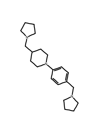 c1cc(N2CCC(CN3CCCC3)CC2)ccc1CN1CCCC1